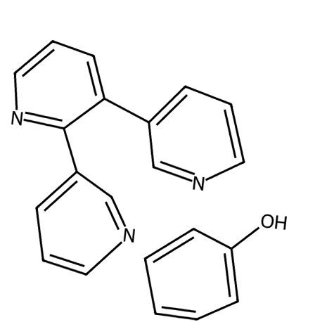 Oc1ccccc1.c1cncc(-c2cccnc2-c2cccnc2)c1